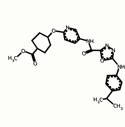 COC(=O)C1CCC(Oc2ccc(NC(=O)c3nnc(Nc4ccc(C(C)C)cc4)o3)cn2)CC1